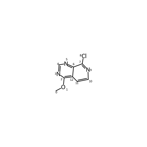 COc1ncnc2c(Cl)nccc12